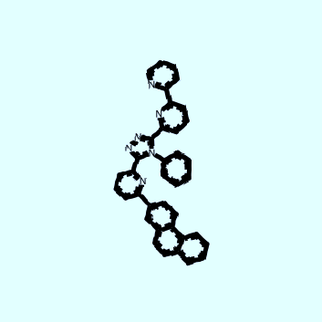 c1ccc(-n2c(-c3cccc(-c4ccc5c(ccc6ccccc65)c4)n3)nnc2-c2cccc(-c3ccccn3)n2)cc1